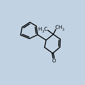 CC1(C)C=CC(=O)CC1c1ccccc1